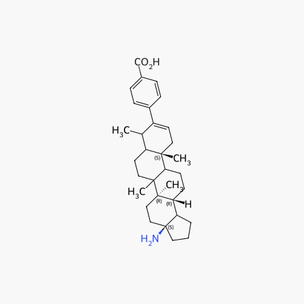 CC1C(c2ccc(C(=O)O)cc2)=CC[C@@]2(C)C1CCC1(C)C2CC[C@@H]2C3CCC[C@]3(N)CC[C@]21C